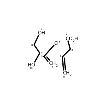 C=CCC(=O)O.C=CCl.OCCO